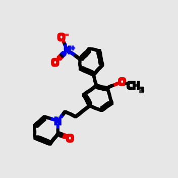 COc1ccc(CCn2ccccc2=O)cc1-c1cccc([N+](=O)[O-])c1